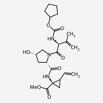 C=CC1C[C@]1(NC(=O)[C@@H]1C[C@H](O)CN1C(=O)[C@@H](NC(=O)OC1CCCC1)C(=C)C)C(=O)OC